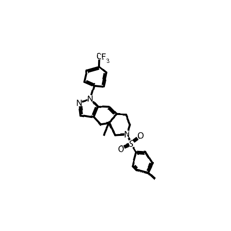 Cc1ccc(S(=O)(=O)N2CCC3=Cc4c(cnn4-c4ccc(C(F)(F)F)cc4)CC3(C)C2)cc1